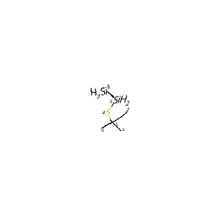 CC(C)(C)S[SiH2][SiH3]